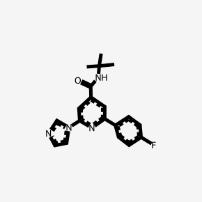 CC(C)(C)NC(=O)c1cc(-c2ccc(F)cc2)nc(-n2ccnc2)c1